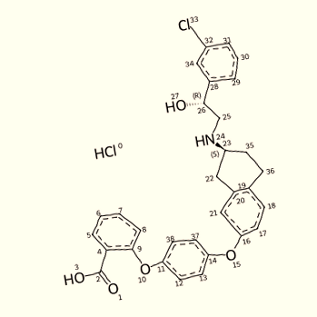 Cl.O=C(O)c1ccccc1Oc1ccc(Oc2ccc3c(c2)C[C@@H](NC[C@H](O)c2cccc(Cl)c2)CC3)cc1